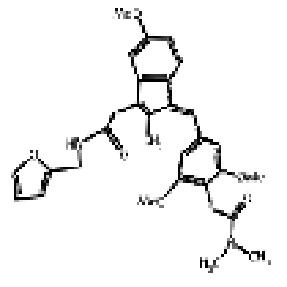 COc1ccc2c(c1)C(CC(=O)NCc1ccco1)=C(C)C2=Cc1cc(OC)c(SC(=O)N(C)C)c(OC)c1